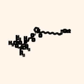 CCCCCCCC/C=C\CCCCCCCC(=O)N1CCC[C@H]1COC(=O)CCNC(=O)C1OC(C)(C)OCC1(C)C